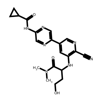 CN(C)C(=O)C(CCO)Nc1cc(-c2cnc(NC(=O)C3CC3)cn2)cnc1C#N